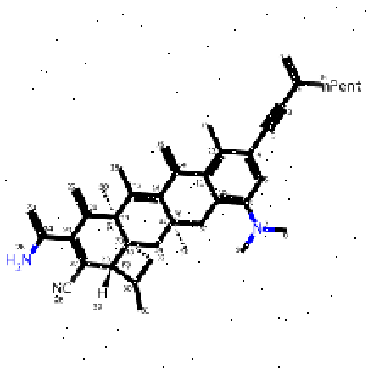 C=C(C#Cc1cc(N(C)C)c2c(c1C)C(=C)C1=C(C)[C@]3(C)C(=C)C(C(=C)N)=C(C#N)[C@H]4C(C)C[C@]43C[C@]1(C)C2)CCCCC